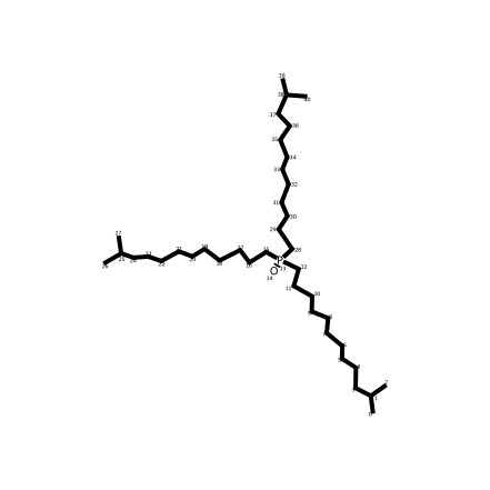 CC(C)CCCCCCCCCCP(=O)(CCCCCCCCCCC(C)C)CCCCCCCCCCC(C)C